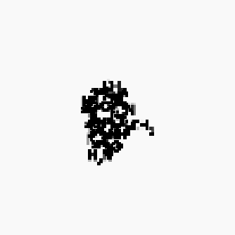 CC[C@@H]1CN(C(=O)C2(C#N)CC2)C[C@H]1Nc1c(C(N)=O)cnn2cc(-c3cnn(C[C@@H](C)O)c3)nc12